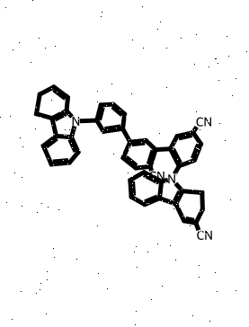 N#CC1=Cc2c(n(-c3ccc(C#N)cc3-c3cc(-c4cccc(-n5c6c(c7ccccc75)CCC=C6)c4)ccc3C#N)c3ccccc23)CC1